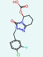 O=C(O)O[C@H]1CCCc2nn(Cc3ccc(Cl)c(F)c3)c(=O)n21